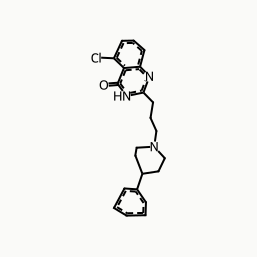 O=c1[nH]c(CCCN2CCC(c3ccccc3)CC2)nc2cccc(Cl)c12